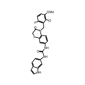 COc1ccc(F)c(CN2C(=O)CSc3cc(NC(=O)Nc4ccc5cc[nH]c5c4)ccc32)c1Cl